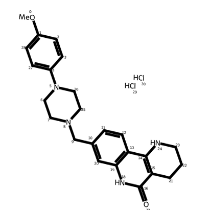 COc1ccc(N2CCN(Cc3ccc4c5c(c(=O)[nH]c4c3)CCCN5)CC2)cc1.Cl.Cl